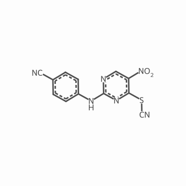 N#CSc1nc(Nc2ccc(C#N)cc2)ncc1[N+](=O)[O-]